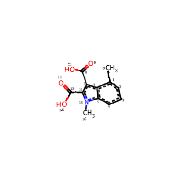 Cc1cccc2c1c(C(=O)O)c(C(=O)O)n2C